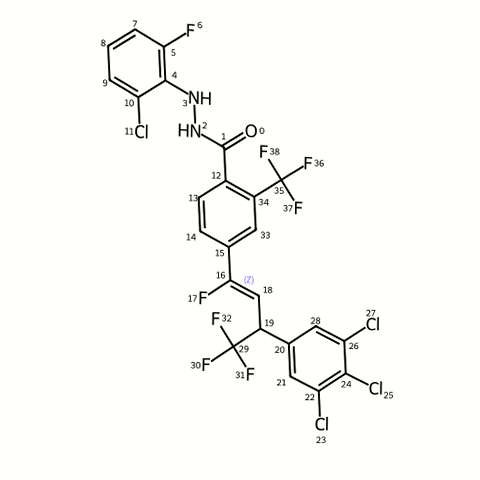 O=C(NNc1c(F)cccc1Cl)c1ccc(/C(F)=C/C(c2cc(Cl)c(Cl)c(Cl)c2)C(F)(F)F)cc1C(F)(F)F